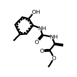 C=C(NC(=O)Nc1cc(C)ccc1O)C(=O)OC